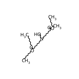 CCCCCCCCOC(CCCCCCCN(CCO)CCCCCCCC(=O)OC(C)CCCCCC)OCCCCCCCC